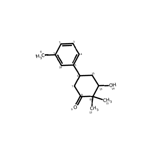 Cc1cccc(C2CC(=O)C(C)(C)C(O)C2)c1